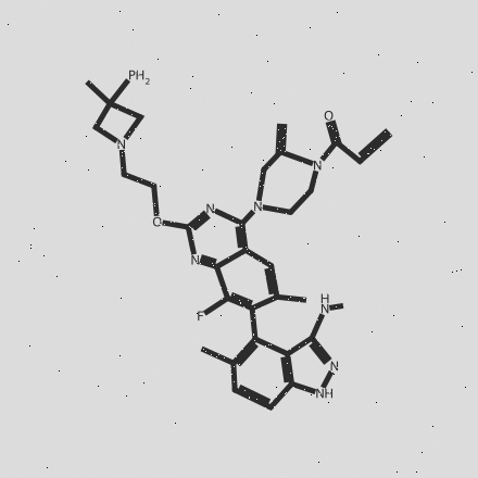 C=CC(=O)N1CCN(c2nc(OCCN3CC(C)(P)C3)nc3c(F)c(-c4c(C)ccc5[nH]nc(NC)c45)c(C)cc23)CC1=C